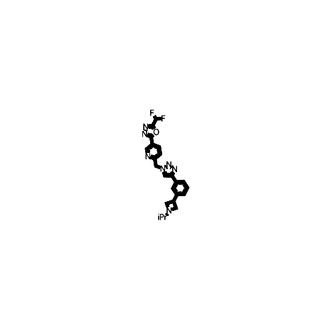 CC(C)N1CC(c2cccc(-c3cn(Cc4ccc(-c5nnc(C(F)F)o5)cn4)nn3)c2)C1